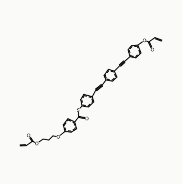 C=CC(=O)OCCCOc1ccc(C(=O)Sc2ccc(C#Cc3ccc(C#Cc4ccc(OC(=O)C=C)cc4)cc3)cc2)cc1